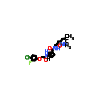 CC(C)CC1CC(CNC(=O)C23CC(C2)[C@@H](NC(=O)COc2ccc(Cl)c(F)c2)C3)ON1